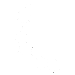 Cc1ccc(-c2ccc(N)c(NCc3ccc4ncccc4c3)n2)cn1